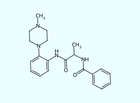 CC(NC(=O)c1ccccc1)C(=O)Nc1ccccc1N1CCN(C)CC1